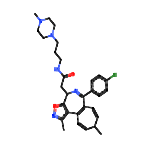 Cc1noc2c1C1=C(C=CC(C)C=C1)C(c1ccc(Cl)cc1)=NC2CC(=O)NCCCN1CCN(C)CC1